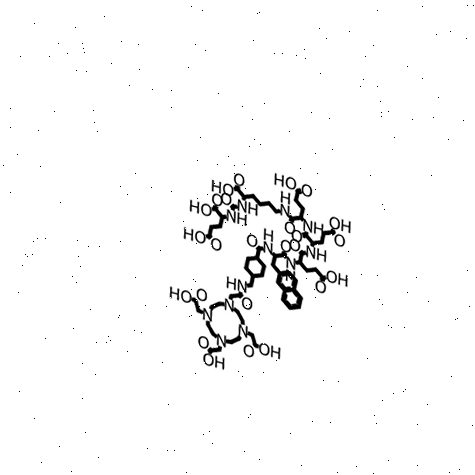 O=C(O)CCC(NC(=O)NC(CCCCNC(=O)C(CCC(=O)O)NC(=O)C(CCC(=O)O)NC(=O)C(CCC(=O)O)NC(=O)C(Cc1ccc2ccccc2c1)NC(=O)C1CCC(CNC(=O)CN2CCN(CC(=O)O)CCN(CC(=O)O)CCN(CC(=O)O)CC2)CC1)C(=O)O)C(=O)O